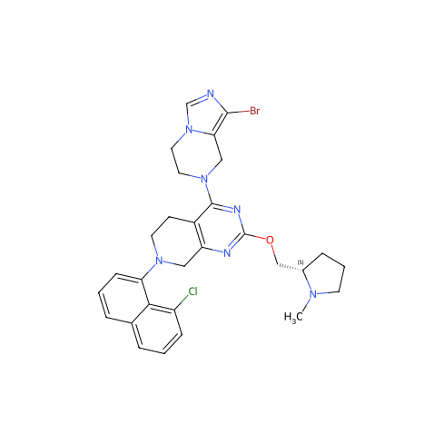 CN1CCC[C@H]1COc1nc2c(c(N3CCn4cnc(Br)c4C3)n1)CCN(c1cccc3cccc(Cl)c13)C2